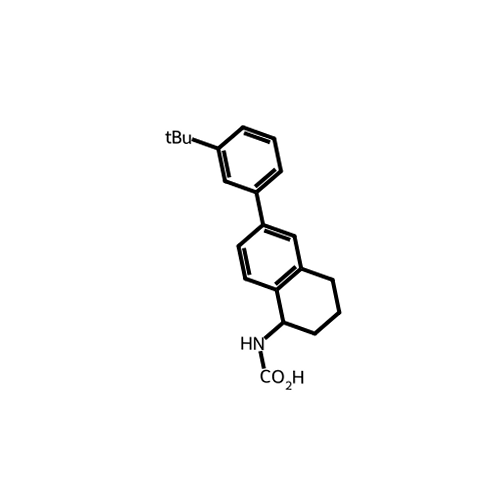 CC(C)(C)c1cccc(-c2ccc3c(c2)CCCC3NC(=O)O)c1